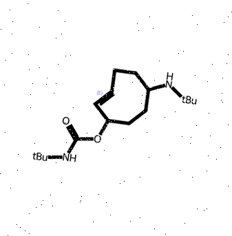 CC(C)(C)NC(=O)OC1/C=C/CCC(NC(C)(C)C)CC1